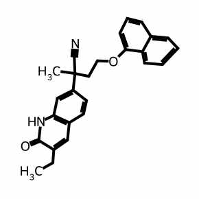 CCc1cc2ccc(C(C)(C#N)CCOc3cccc4ccccc34)cc2[nH]c1=O